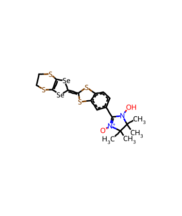 CC1(C)N(O)C(c2ccc3c(c2)SC(=C2[Se]C4=C(SCCS4)[Se]2)S3)=[N+]([O-])C1(C)C